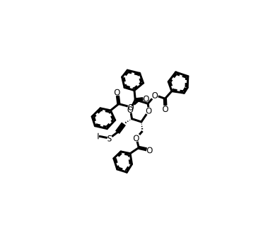 O=C(OCC(OC(=O)c1ccccc1)O[C@H](COC(=O)c1ccccc1)[C@H](C#CSI)OC(=O)c1ccccc1)c1ccccc1